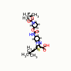 CC(C)(C)C#Cc1cc(NC2CCC(NC(=O)O[C@@H]3CCCN(C(=O)OC(C)(C)C)C3)CC2)c(C(=O)O)s1